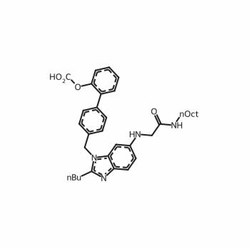 CCCCCCCCNC(=O)CNc1ccc2nc(CCCC)n(Cc3ccc(-c4ccccc4OC(=O)O)cc3)c2c1